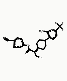 CCC(C(=O)Nc1ccc(C#N)cc1)=C1CCC(c2ccc(C(F)(F)F)nc2N)CC1